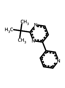 CC(C)(C)c1nccc(-c2cccnc2)n1